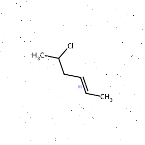 C/C=C/CC(C)Cl